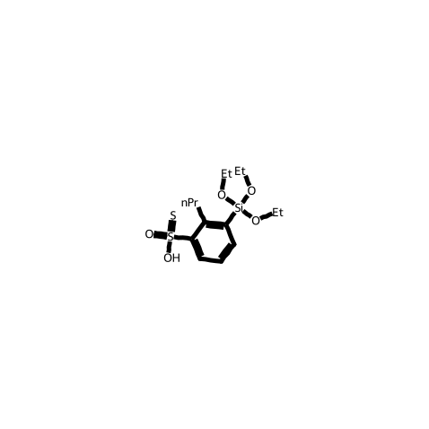 CCCc1c([Si](OCC)(OCC)OCC)cccc1S(=O)(O)=S